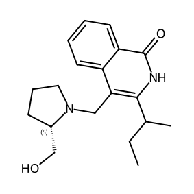 CCC(C)c1[nH]c(=O)c2ccccc2c1CN1CCC[C@H]1CO